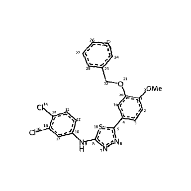 COc1ccc(-c2nnc(Nc3ccc(Cl)c(Cl)c3)s2)cc1OCc1ccccc1